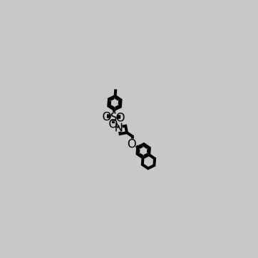 Cc1ccc(S(=O)(=O)ON2CC(COc3ccc4c(c3)CCCC4)C2)cc1